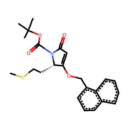 CSCC[C@H]1C(OCc2cccc3ccccc23)=CC(=O)N1C(=O)OC(C)(C)C